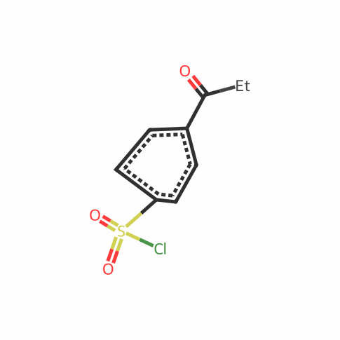 CCC(=O)c1ccc(S(=O)(=O)Cl)cc1